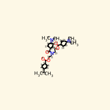 CC(C)c1ccc(C(=O)OCCN(CCOC(=O)c2ccc(N(C)C)cc2)C(=O)c2ccc(N(C)C)cc2)cc1